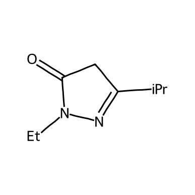 CCN1N=C(C(C)C)CC1=O